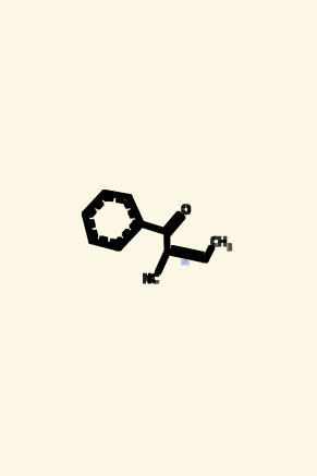 C/C=C(/C#N)C(=O)c1ccccc1